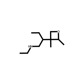 CCNCC(CC)C1(C)COC1C